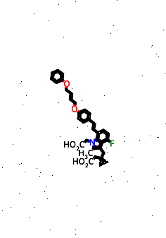 Cc1c(CC2(CC(=O)O)CC2)c2c(F)ccc(C=Cc3ccc(OCC=CCOc4ccccc4)cc3)c2n1CC(=O)O